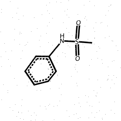 CS(=O)(=O)Nc1c[c]ccc1